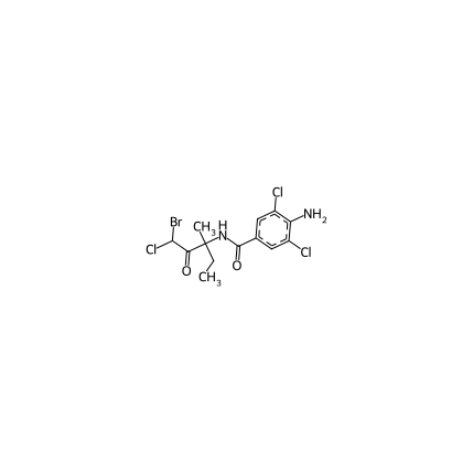 CCC(C)(NC(=O)c1cc(Cl)c(N)c(Cl)c1)C(=O)C(Cl)Br